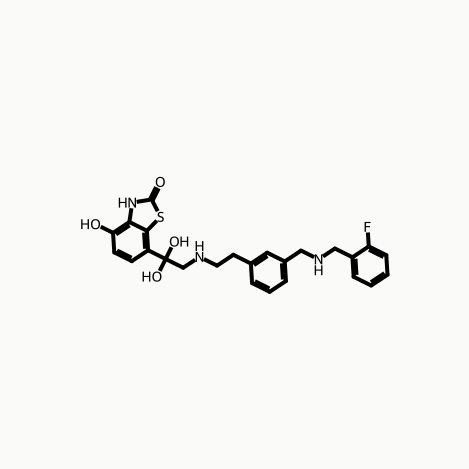 O=c1[nH]c2c(O)ccc(C(O)(O)CNCCc3cccc(CNCc4ccccc4F)c3)c2s1